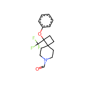 O=CN1CCC2(CC1)CCC2(Oc1ccccc1)C(F)(F)F